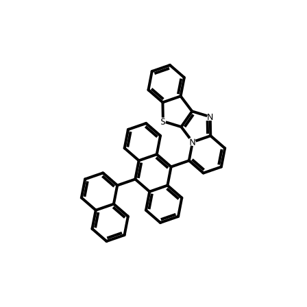 c1ccc2c(-c3c4ccccc4c(-c4cccc5nc6c7ccccc7sc6n45)c4ccccc34)cccc2c1